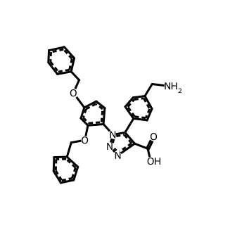 NCc1ccc(-c2c(C(=O)O)nnn2-c2ccc(OCc3ccccc3)cc2OCc2ccccc2)cc1